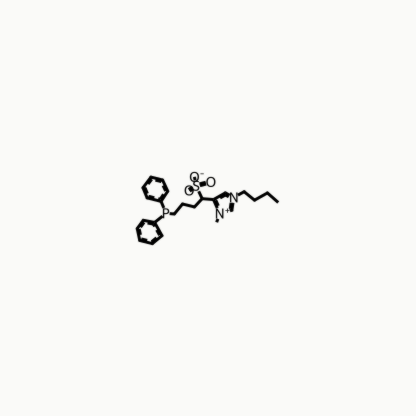 CCCCn1cc(C(CCCP(c2ccccc2)c2ccccc2)S(=O)(=O)[O-])[n+](C)c1